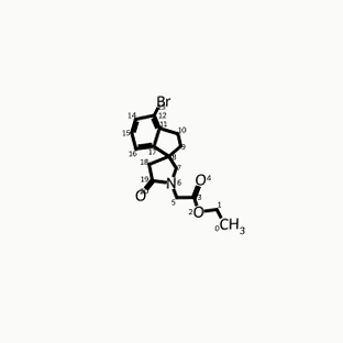 CCOC(=O)CN1CC2(CCc3c(Br)cccc32)CC1=O